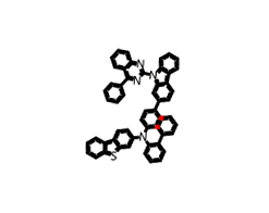 c1ccc(-c2ccccc2N(c2ccc(-c3ccc4c5ccccc5n(-c5nc(-c6ccccc6)c6ccccc6n5)c4c3)cc2)c2ccc3c(c2)sc2ccccc23)cc1